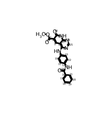 COC(=O)c1cc2c(Nc3ccc(NC(=O)c4ccccc4)cc3)ncnc2[nH]c1=O